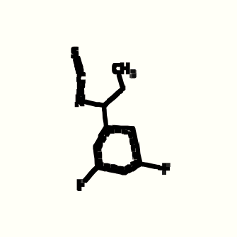 CCC(N=C=S)c1cc(F)cc(F)c1